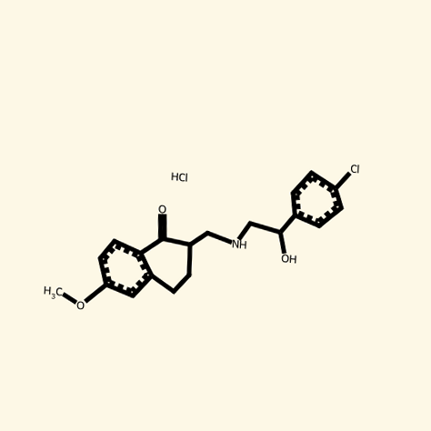 COc1ccc2c(c1)CCC(CNCC(O)c1ccc(Cl)cc1)C2=O.Cl